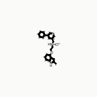 Cc1cc2c(OCCNCc3cncc(-c4ccccc4)c3)cccc2[nH]1.Cl